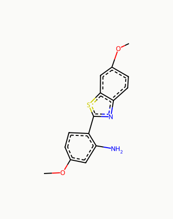 COc1ccc(-c2nc3ccc(OC)cc3s2)c(N)c1